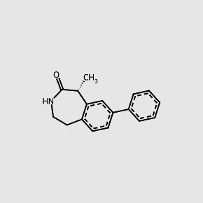 C[C@H]1C(=O)NCCc2ccc(-c3ccccc3)cc21